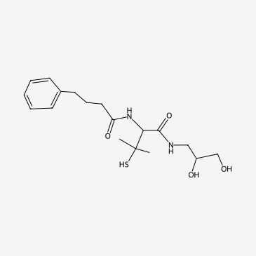 CC(C)(S)C(NC(=O)CCCc1ccccc1)C(=O)NCC(O)CO